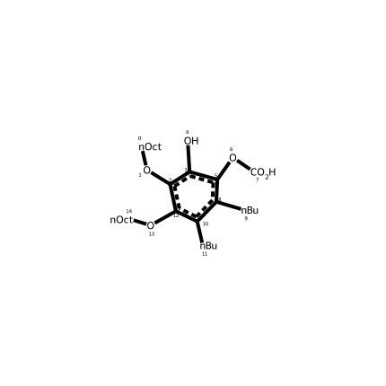 CCCCCCCCOc1c(O)c(OC(=O)O)c(CCCC)c(CCCC)c1OCCCCCCCC